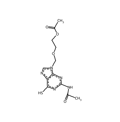 CC(=O)Nc1nc(S)c2ncn(COCCOC(C)=O)c2n1